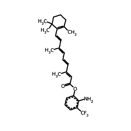 CC1=C(/C=C/C(C)=C/C=C/C(C)=C/C(=O)Oc2cccc(C(F)(F)F)c2N)C(C)(C)CCC1